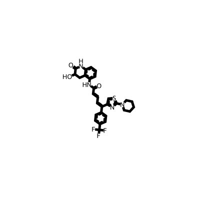 O=C(C=CC=C(c1ccc(C(F)(F)F)cc1)c1csc(N2CCCCC2)n1)Nc1cccc2c1CC(O)C(=O)N2